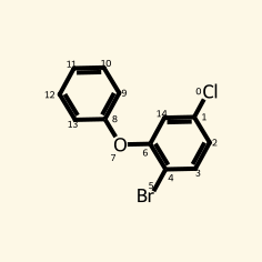 Clc1ccc(Br)c(Oc2ccccc2)c1